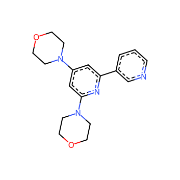 c1cncc(-c2cc(N3CCOCC3)cc(N3CCOCC3)n2)c1